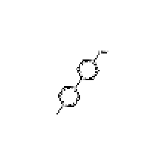 CC(=O)Oc1ccc(-c2ccc(C)cc2)cc1